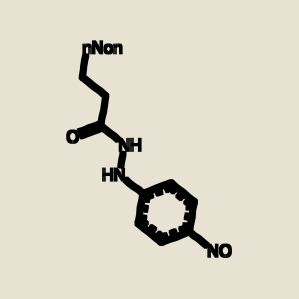 CCCCCCCCCCCC(=O)NNc1ccc(N=O)cc1